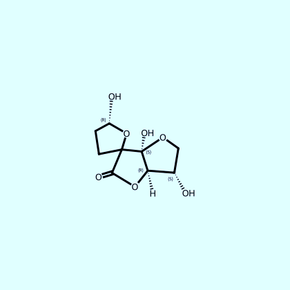 O=C1O[C@@H]2[C@@H](O)CO[C@]2(O)C12CC[C@H](O)O2